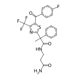 CC(C(=O)NCCC(N)=O)(c1ccccc1)c1nc(C(F)(F)F)c(C(=O)c2ccc(F)cc2)s1